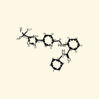 O=C(Nc1ccccc1)c1ccccc1NCc1ccc(-c2noc(C(F)(F)F)n2)cn1